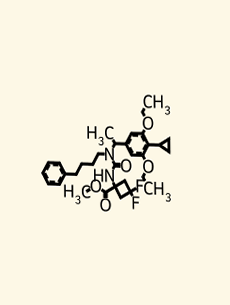 CCOc1cc(C(C)N(CCCCc2ccccc2)C(=O)NC2(C(=O)OC)CC(F)(F)C2)cc(OCC)c1C1CC1